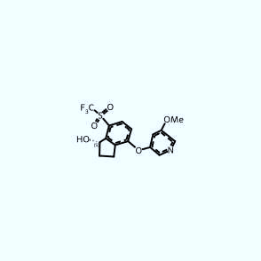 COc1cncc(Oc2ccc(S(=O)(=O)C(F)(F)F)c3c2CC[C@@H]3O)c1